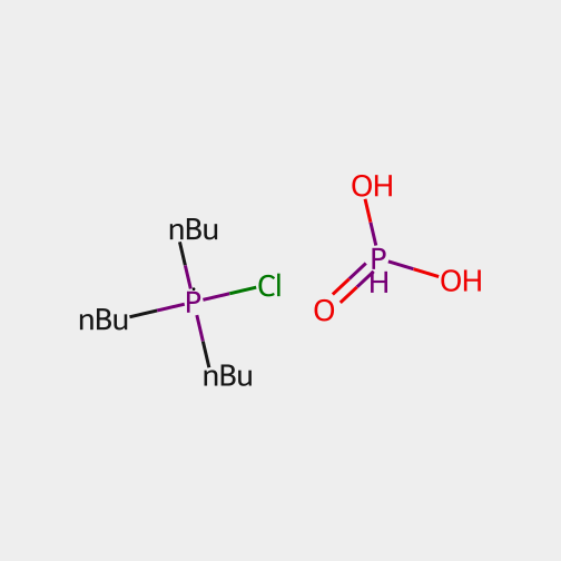 CCCC[P](Cl)(CCCC)CCCC.O=[PH](O)O